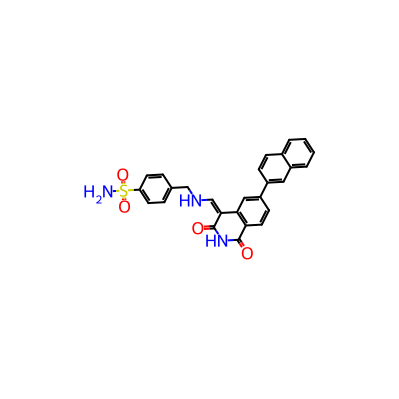 NS(=O)(=O)c1ccc(CNC=C2C(=O)NC(=O)c3ccc(-c4ccc5ccccc5c4)cc32)cc1